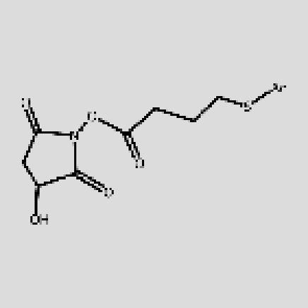 CC(=O)SCCCC(=O)ON1C(=O)CC(O)C1=O